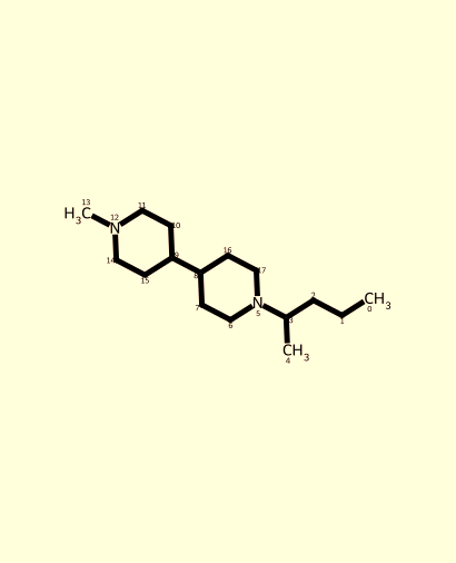 CCCC(C)N1CCC(C2CCN(C)CC2)CC1